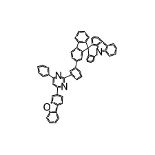 c1ccc(-c2cc(-c3ccc4c(c3)oc3ccccc34)nc(-c3cccc(-c4ccc5c(c4)C4(c6ccccc6-5)c5ccccc5-n5c6ccccc6c6cccc4c65)c3)n2)cc1